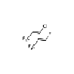 FC(F)(F)C=CCl.FC=CC(F)(F)F